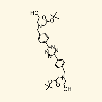 CC(C)(C)OC(=O)CN(CCO)Cc1ccc(-c2nnc(-c3ccc(CN(CCO)CC(=O)OC(C)(C)C)cc3)nn2)cc1